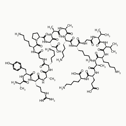 CC(C)[C@H](NC(=O)CNC(=O)[C@H](CCCCN)NC(=O)[C@H](CCCCN)NC(=O)[C@H](C)NC(=O)[C@H](C)NC(=O)[C@H](CC(=O)O)NC(=O)[C@@H]1CCCN1C(=O)[C@H](CCCCN)NC(=O)CNC(=O)[C@H](CCCCN)NC(=O)[C@H](C)NC(=O)[C@H](CCCNC(=N)N)NC(=O)[C@H](Cc1ccc(O)cc1)NC(=O)[C@H](C)N)C(=O)N[C@H](C(=O)N[C@@H](CCCCN)C(=O)N[C@@H](C)C(=O)N[C@@H](CCC(=O)O)C(=O)N[C@@H](CCCCN)C(=O)O)C(C)C